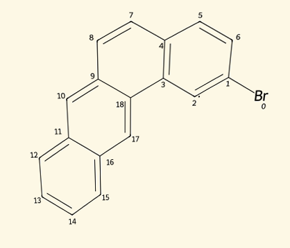 Brc1[c]c2c(cc1)ccc1cc3ccccc3cc12